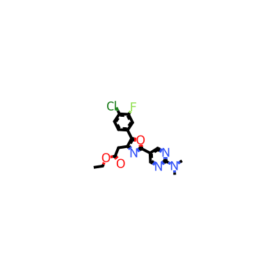 CCOC(=O)Cc1nc(-c2cnc(N(C)C)nc2)oc1-c1ccc(Cl)c(F)c1